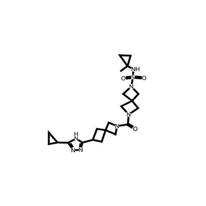 CC1(NS(=O)(=O)N2CC3(CN(C(=O)N4CC5(CC(c6nnc(C7CC7)[nH]6)C5)C4)C3)C2)CC1